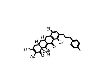 CCc1cc(CCCc2ccc(C)cc2)c(O)c2c1C[C@H]1C[C@H]3CC(O)=C(C(C)=O)C(=O)[C@@]3(O)C(O)=C1C2=O